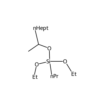 CCCCCCCC(C)O[Si](CCC)(OCC)OCC